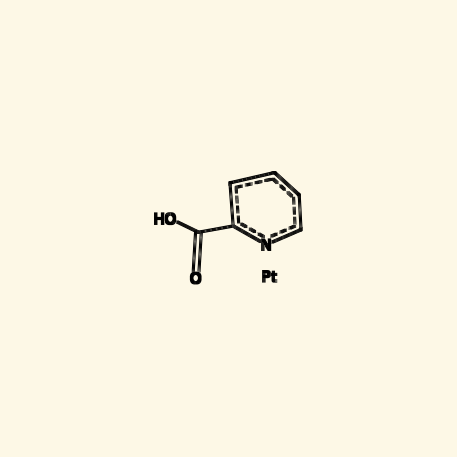 O=C(O)c1ccccn1.[Pt]